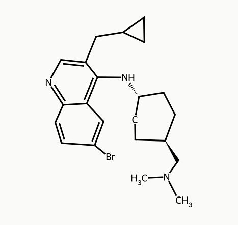 CN(C)C[C@H]1CC[C@H](Nc2c(CC3CC3)cnc3ccc(Br)cc23)CC1